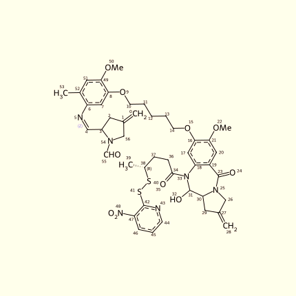 C=C1CC(/C=N\c2cc(OCCCCCOc3cc4c(cc3OC)C(=O)N3CC(=C)CC3C(O)N4C(=O)CC[C@@H](C)SSc3ncccc3[N+](=O)[O-])c(OC)cc2C)N(C=O)C1